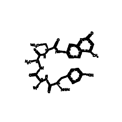 CC(=O)N[C@@H](Cc1ccc(O)cc1)C(=O)N[C@H](C(=O)N[C@@H](C)C(=O)N[C@@H](CC(=O)O)C(=O)Nc1ccc2c(C)cc(=O)oc2c1)C(C)C